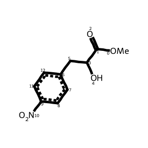 COC(=O)C(O)Cc1ccc([N+](=O)[O-])cc1